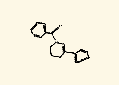 O=C(c1cccnc1)N1CCCC(c2ccccc2)=N1